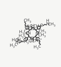 CCCC[n+]1ccc(-c2c3nc(c(-c4cc[n+](CCC[N+](CC)(CC)CC)cc4)c4[nH]c(c(C)c4C)c(-c4cc[n+](CCCC)cc4)c4nc(c(-c5ccc(OCCCNC)cc5)c5[nH]c2c(C)c5C)C(C)C4C)C(C)C3C)cc1